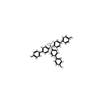 Cc1ccc(-c2ccc([Si](Cl)(c3ccc(-c4ccc(C)cc4)cc3)c3ccc(-c4ccc(C)cc4)cc3)cc2)cc1